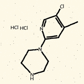 Cc1cc(N2CCNCC2)ncc1Cl.Cl.Cl